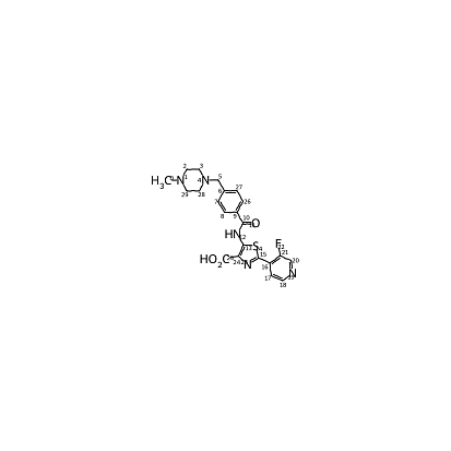 CN1CCN(Cc2ccc(C(=O)Nc3sc(-c4ccncc4F)nc3C(=O)O)cc2)CC1